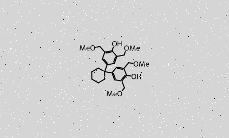 COCc1cc(C2(c3cc(COC)c(O)c(COC)c3)CCCCC2)cc(COC)c1O